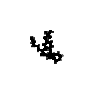 [N-]=[N+]=NCCC(Nc1nc2ccccc2[nH]1)c1cccc(OC(F)(F)F)c1